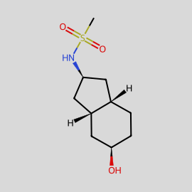 CS(=O)(=O)N[C@@H]1C[C@H]2C[C@H](O)CC[C@H]2C1